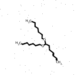 C=C/C=C/CCC(OCCCCCCC)OCCCCCCC